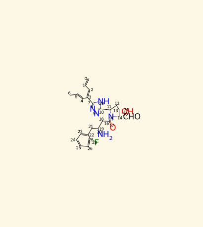 C=CC=C(C=CC)c1nnc(C2CCCN2C(=O)CC(N)Cc2ccccc2F)[nH]1.O=CO